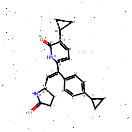 O=C1CC[C@H](/C=C(\c2ccc(C3CC3)cc2)c2ccc(C3CC3)c(=O)[nH]2)N1